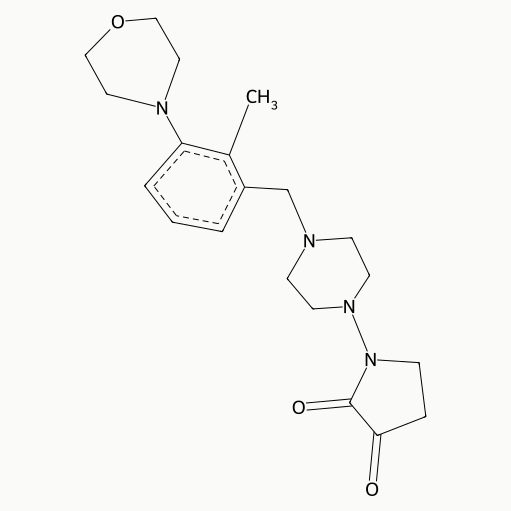 Cc1c(CN2CCN(N3CCC(=O)C3=O)CC2)cccc1N1CCOCC1